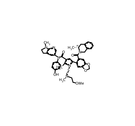 COCCN(C)CCn1c(-c2cc3c(cc2C(=O)N2Cc4ccccc4C[C@H]2C)OCO3)cc(C(=O)N(c2ccc(O)cc2)c2cnc3c(c2)CCN3C)c1C